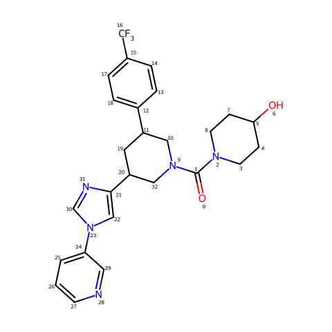 O=C(N1CCC(O)CC1)N1CC(c2ccc(C(F)(F)F)cc2)CC(c2cn(-c3cccnc3)cn2)C1